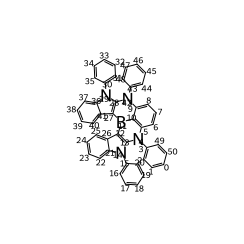 c1ccc(N2c3cccc4c3B(c3c2n(-c2ccccc2)c2ccccc32)c2c(n(-c3ccccc3)c3ccccc23)N4c2ccccc2)cc1